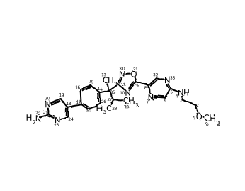 COCCNc1cnc(-c2nc([C@@](C)(c3ccc(-c4cnc(N)nc4)cc3)C(C)C)no2)cn1